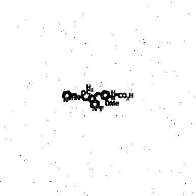 COc1cc(/C=C2/C(C)=C(CC(=O)NCc3cccnc3)c3cnc(F)cc32)ccc1NCC(=O)O